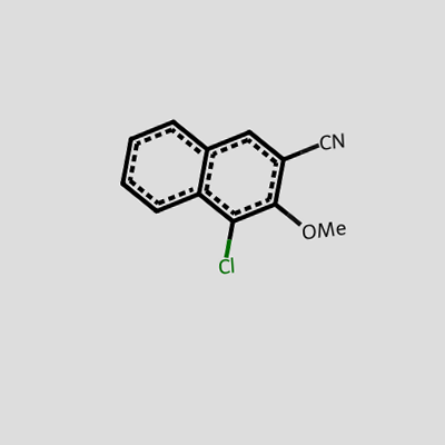 COc1c(C#N)cc2ccccc2c1Cl